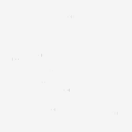 CCCCCCCCCc1ccccc1O.CCOCC.OCCOCCO